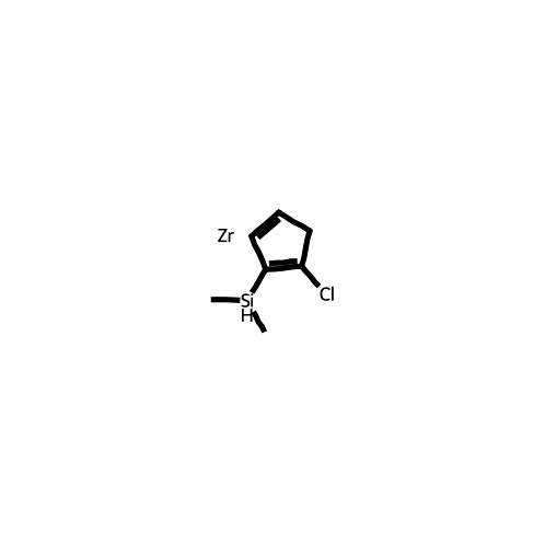 C[SiH](C)C1=C(Cl)CC=C1.[Zr]